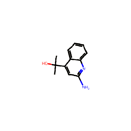 CC(C)(O)c1cc(N)nc2ccccc12